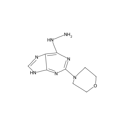 NNc1nc(N2CCOCC2)nc2[nH]cnc12